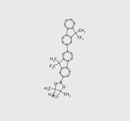 CC1(C)OB(c2ccc3c(c2)C(C)(C(F)(F)F)c2cc(-c4ccc5c(c4)C(C)(C(F)(F)F)c4ccccc4-5)ccc2-3)OC1(C)C